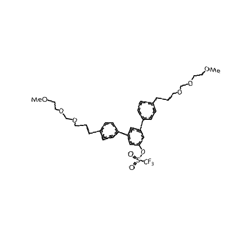 COCCOCOCCCc1ccc(-c2cc(OS(=O)(=O)C(F)(F)F)cc(-c3ccc(CCCOCOCCOC)cc3)c2)cc1